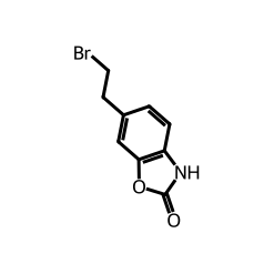 O=c1[nH]c2ccc(CCBr)cc2o1